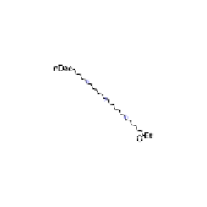 CCCCCCCCCCCCCC/C=C/CCCCC/C=C/CCCCC/C=C/CCCCCC(=O)CC